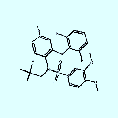 COc1ccc(S(=O)(=O)N(CC(F)(F)F)c2ccc(Cl)cc2Cc2c(F)cccc2F)cc1OC